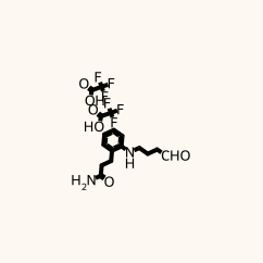 NC(=O)CCc1ccccc1NCCCC=O.O=C(O)C(F)(F)F.O=C(O)C(F)(F)F